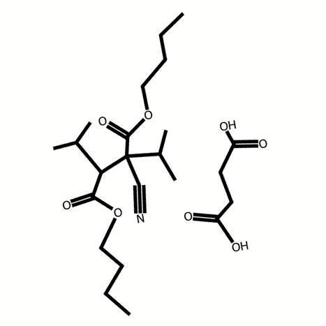 CCCCOC(=O)C(C(C)C)C(C#N)(C(=O)OCCCC)C(C)C.O=C(O)CCC(=O)O